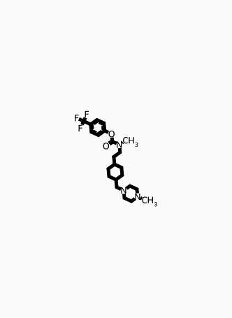 CN1CCN(CC2CCC(CCN(C)C(=O)Oc3ccc(C(F)(F)F)cc3)CC2)CC1